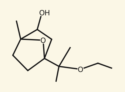 CCOC(C)(C)C12CCC(C)(O1)C(O)C2